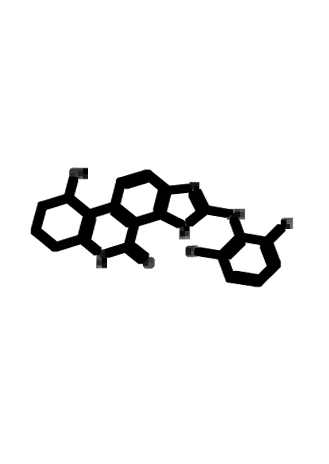 O=c1[nH]c2c(c3ccc4nc(Nc5c(Cl)cccc5Cl)[nH]c4c13)C(O)CCC2